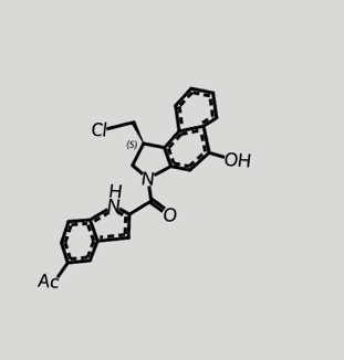 CC(=O)c1ccc2[nH]c(C(=O)N3C[C@@H](CCl)c4c3cc(O)c3ccccc43)cc2c1